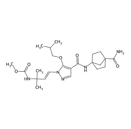 COC(=O)NC(C)(C)/C=C/n1ncc(C(=O)NC23CCC(C(N)=O)(CC2)C3)c1OCC(C)C